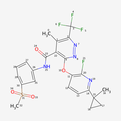 Cc1c(C(F)(F)F)nnc(Oc2ccc(C3(C)CC3)nc2F)c1C(=O)Nc1cccc(S(C)(=O)=O)c1